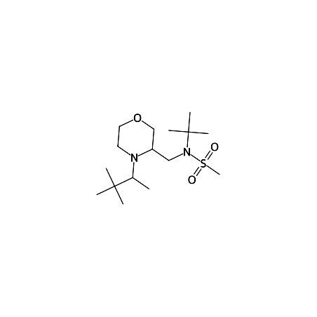 CC(N1CCOCC1CN(C(C)(C)C)S(C)(=O)=O)C(C)(C)C